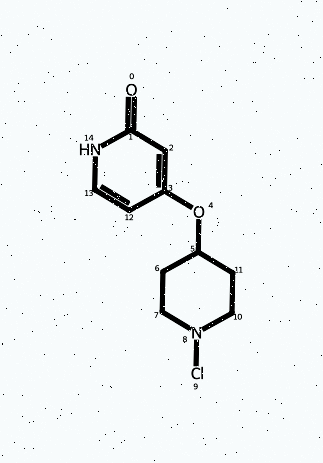 O=c1cc(OC2CCN(Cl)CC2)cc[nH]1